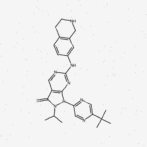 CC(C)n1c(=O)c2cnc(Nc3ccc4c(c3)CNCC4)nc2n1-c1cnc(C(C)(C)C)cn1